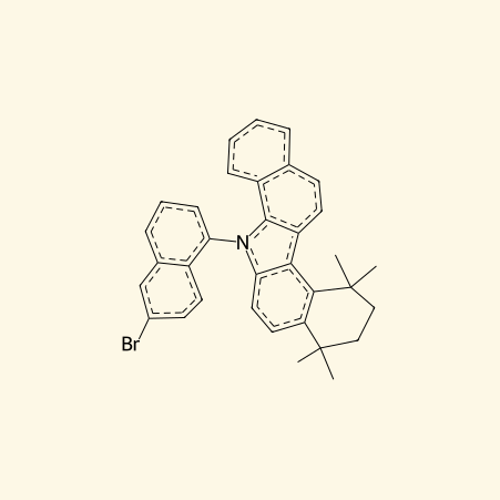 CC1(C)CCC(C)(C)c2c1ccc1c2c2ccc3ccccc3c2n1-c1cccc2cc(Br)ccc12